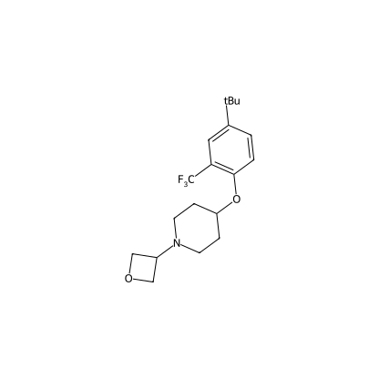 CC(C)(C)c1ccc(OC2CCN(C3COC3)CC2)c(C(F)(F)F)c1